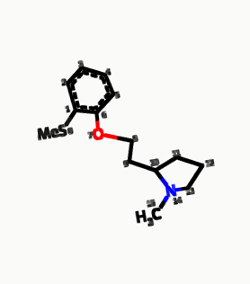 CSc1ccccc1OCCC1CCCN1C